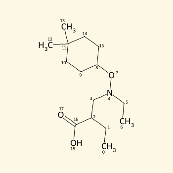 CCC(CN(CC)OC1CCC(C)(C)CC1)C(=O)O